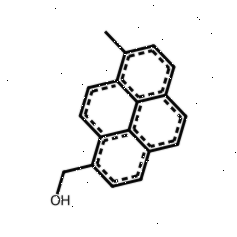 Cc1ccc2ccc3ccc(CO)c4ccc1c2c34